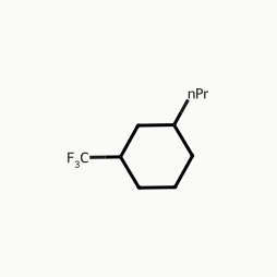 CCCC1CCCC(C(F)(F)F)C1